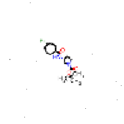 CC(C)(C)OC(=O)N1CC[C@@H](NC(=O)C2CCCC(Br)CC2)C1